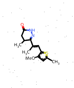 COc1cc(C)sc1C=C(C)C1=NNC(=O)CC1C